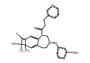 COc1cccc(O[C@H]2CCC3=CC4(C)C(=C(F)C4(O)C(F)(F)F)C=C3N(C(=O)CCc3cccnc3)C2)c1